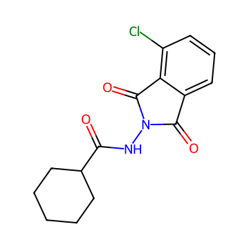 O=C(NN1C(=O)c2cccc(Cl)c2C1=O)C1CCCCC1